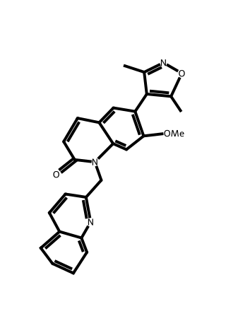 COc1cc2c(ccc(=O)n2Cc2ccc3ccccc3n2)cc1-c1c(C)noc1C